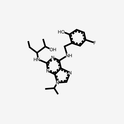 CCC(Nc1nc(NCc2cc(F)ccc2O)c2ncn(C(C)C)c2n1)C(C)O